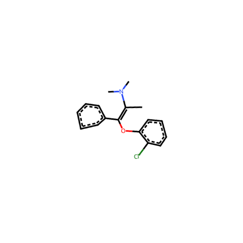 CC(=C(Oc1ccccc1Cl)c1ccccc1)N(C)C